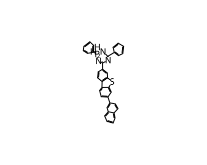 N/C(=N\C(=N/Pc1ccccc1)c1ccc2c(c1)sc1cc(-c3ccc4ccccc4c3)ccc12)c1ccccc1